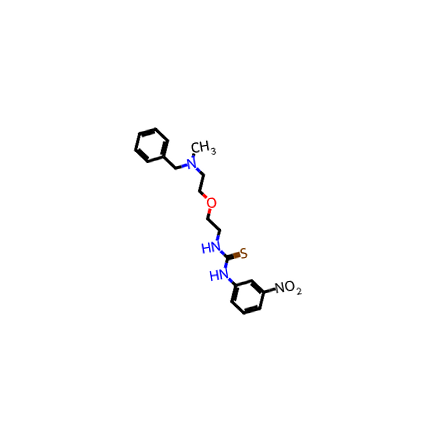 CN(CCOCCNC(=S)Nc1cccc([N+](=O)[O-])c1)Cc1ccccc1